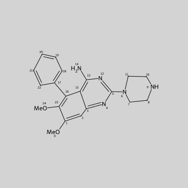 COc1cc2nc(N3CCNCC3)nc(N)c2c(-c2ccccc2)c1OC